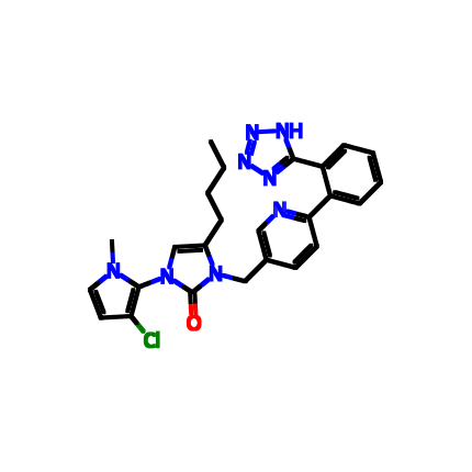 CCCCc1cn(-c2c(Cl)ccn2C)c(=O)n1Cc1ccc(-c2ccccc2-c2nnn[nH]2)nc1